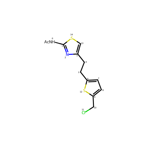 CC(=O)Nc1nc(CCc2ccc(CCl)s2)cs1